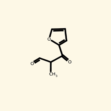 CC(C=O)C(=O)c1ccco1